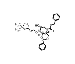 C[Si](C)(C)CCOCO[C@H]1[C@@H]2O[C@H](c3ccccc3)OC[C@H]2N(C(=O)OCc2ccccc2)C[C@@H]1O